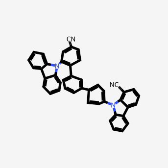 N#Cc1ccc(-c2cccc(-c3ccc(-n4c5ccccc5c5cccc(C#N)c54)cc3)c2)c(-n2c3ccccc3c3ccccc32)c1